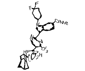 COc1ccc2c(-c3ncc(C(=O)NC4(C(=O)O)C5CC6CC(C5)CC4C6)c(C(F)(F)F)n3)cn(C3CCC(F)(F)CC3)c2c1